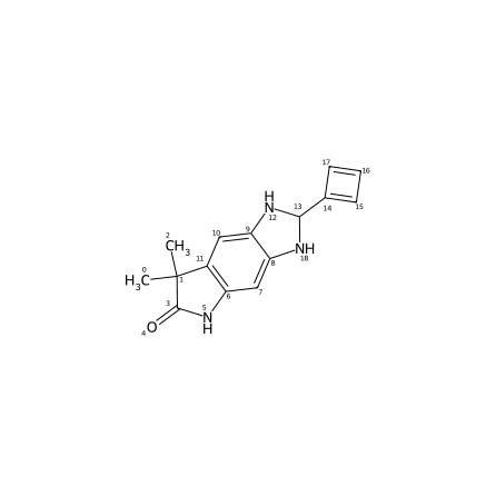 CC1(C)C(=O)Nc2cc3c(cc21)NC(C1=CC=C1)N3